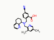 Cc1cnc(CN(Cc2ccc(C#N)cc2C(=O)O)C2CCCc3cccnc32)c(C)c1